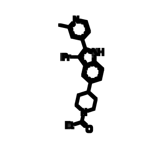 CCC(=O)N1CCC(c2ccc3[nH]c(-c4ccnc(C)c4)c(C(C)C)c3c2)CC1